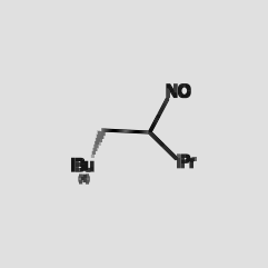 CC[C@@H](C)CC(N=O)C(C)C